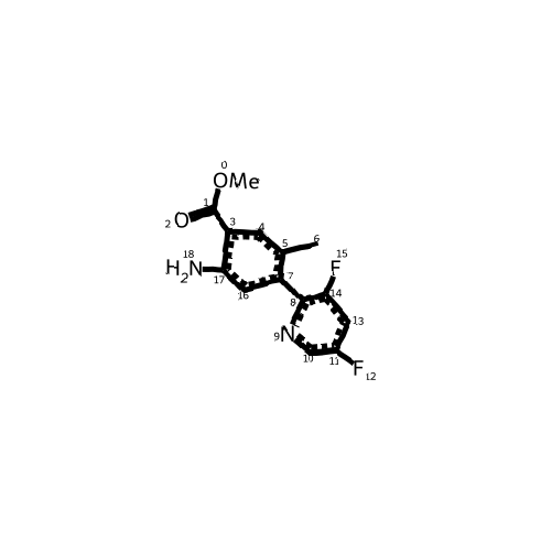 COC(=O)c1cc(C)c(-c2ncc(F)cc2F)cc1N